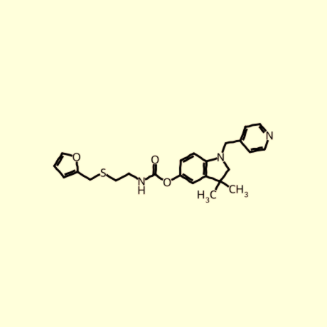 CC1(C)CN(Cc2ccncc2)c2ccc(OC(=O)NCCSCc3ccco3)cc21